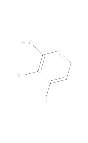 Cc1cccc(Br)c1Br